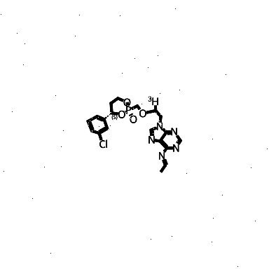 [3H]C(Cn1cnc2c(N=CC)ncnc21)OCP1(=O)OCC[C@@H](c2cccc(Cl)c2)O1